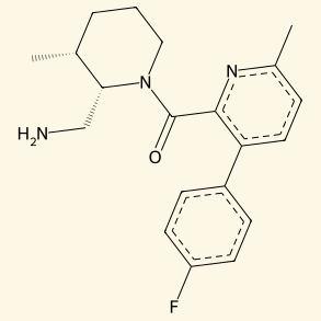 Cc1ccc(-c2ccc(F)cc2)c(C(=O)N2CCC[C@@H](C)[C@H]2CN)n1